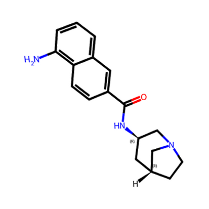 Nc1cccc2cc(C(=O)N[C@@H]3C[C@H]4CCN(C4)C3)ccc12